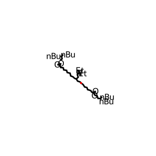 CCCCC(CCCC)CCOC(=O)CCCCCCCCCC(CCCCCCCCCC(=O)OCCC(CCCC)CCCC)CCN(CC)CC